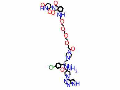 NC1(C(=O)N[C@@H](CCN2CCN(C(=O)CCOCCOCCOCCOCCNc3cccc4c3C(=O)N(C3CCC(=O)NC3=O)C4=O)CC2)c2ccc(Cl)cc2)CCN(c2ncnc3[nH]ccc23)CC1